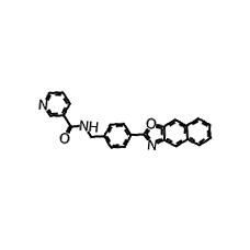 O=C(NCc1ccc(-c2nc3cc4ccccc4cc3o2)cc1)c1cccnc1